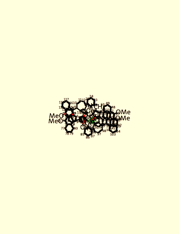 COc1c2ccccc2c(C2C=CC=CC3=C2C=C(C)[C]32[GeH]([c]3ccccc3)[C]3(C(C)=CC4=C3C=CC=CC4c3c4ccccc4c(OC)c4ccccc34)[Zr]23([Cl])([Cl])[C]2(C(C)=CC4=C2C=CC=CC4c2c4ccccc4c(OC)c4ccccc24)[GeH]([c]2ccccc2)[C]32C(C)=CC3=C2C=CC=CC3c2c3ccccc3c(OC)c3ccccc23)c2ccccc12